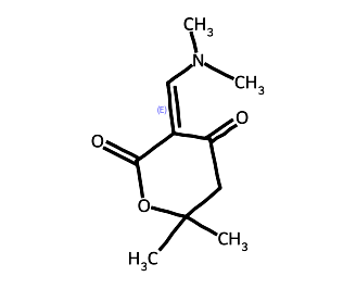 CN(C)/C=C1\C(=O)CC(C)(C)OC1=O